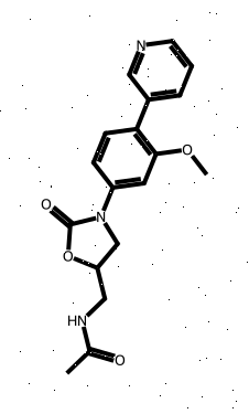 COc1cc(N2CC(CNC(C)=O)OC2=O)ccc1-c1cccnc1